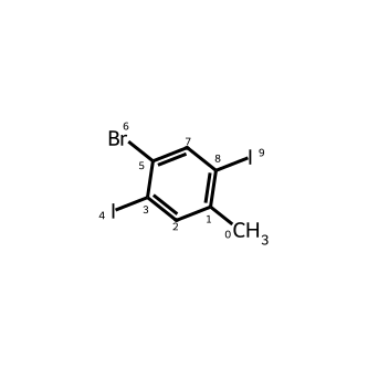 Cc1cc(I)c(Br)cc1I